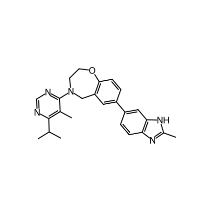 Cc1nc2ccc(-c3ccc4c(c3)CN(c3ncnc(C(C)C)c3C)CCO4)cc2[nH]1